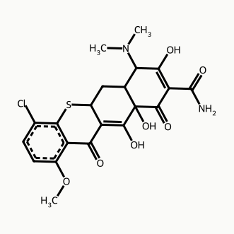 COc1ccc(Cl)c2c1C(=O)C1=C(O)C3(O)C(=O)C(C(N)=O)=C(O)C(N(C)C)C3CC1S2